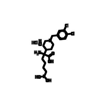 Cl.Cl.NC(CCCCB(O)O)(C(=O)O)C1CCN(Cc2ccc(Cl)c(Cl)c2)CC1